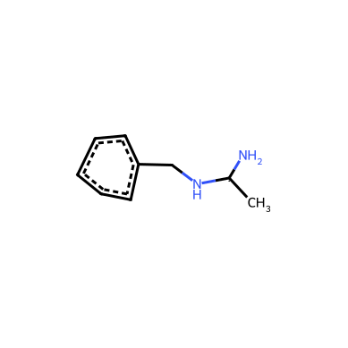 C[C](N)NCc1ccccc1